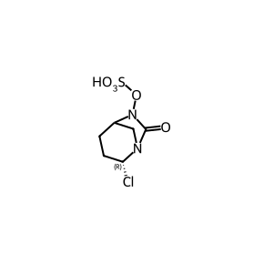 O=C1N(OS(=O)(=O)O)C2CC[C@@H](Cl)N1C2